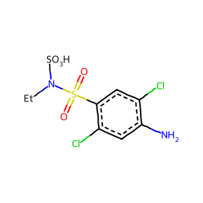 CCN(S(=O)(=O)O)S(=O)(=O)c1cc(Cl)c(N)cc1Cl